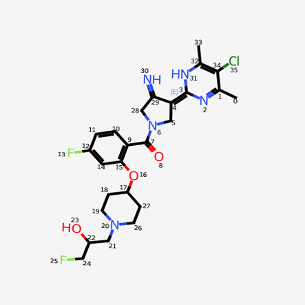 CC1=N/C(=C2\CN(C(=O)c3ccc(F)cc3OC3CCN(CC(O)CF)CC3)CC2=N)NC(C)=C1Cl